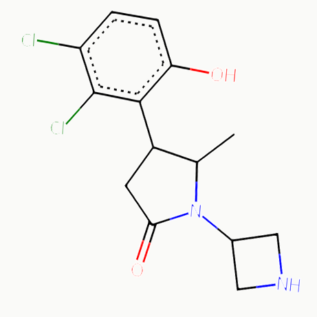 CC1C(c2c(O)ccc(Cl)c2Cl)CC(=O)N1C1CNC1